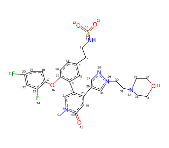 Cn1cc(-c2cc(CCN[SH](=O)=O)ccc2Oc2ccc(F)cc2F)c(-c2cnn(CCN3CCOCC3)c2)cc1=O